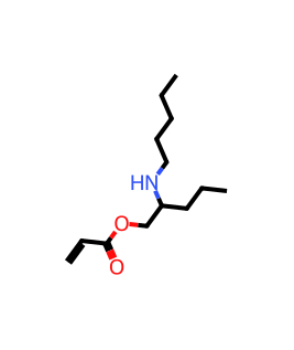 C=CC(=O)OCC(CCC)NCCCCC